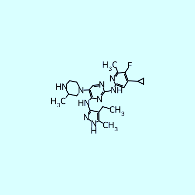 CCc1c(Nc2nc(Nc3cc(C4CC4)c(F)c(C)n3)ncc2N2CCNC(C)C2)n[nH]c1C